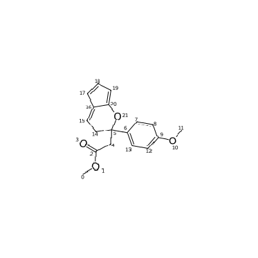 COC(=O)CC1(c2ccc(OC)cc2)CC=C2C=CC=C2O1